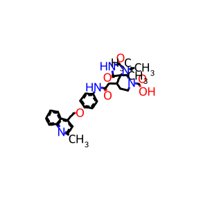 Cc1cc(COc2ccc(NC(=O)CC3CCN(C(=O)O)CC34C(=O)NC(=O)N4C(C)(C)C)cc2)c2ccccc2n1